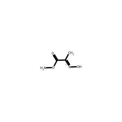 C/C(=N\O)C(=O)ON